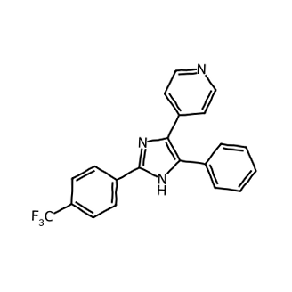 FC(F)(F)c1ccc(-c2nc(-c3ccncc3)c(-c3ccccc3)[nH]2)cc1